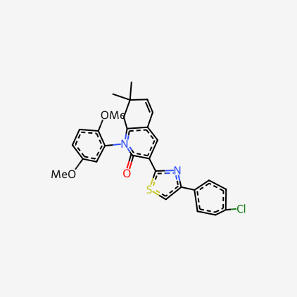 COc1ccc(OC)c(-n2c3c(cc(-c4nc(-c5ccc(Cl)cc5)cs4)c2=O)C=CC(C)(C)C3)c1